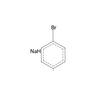 Brc1cc[c]cc1.[NaH]